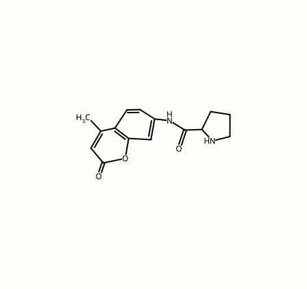 Cc1cc(=O)oc2cc(NC(=O)C3CCCN3)ccc12